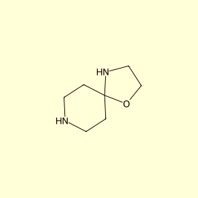 C1CC2(CCN1)NCCO2